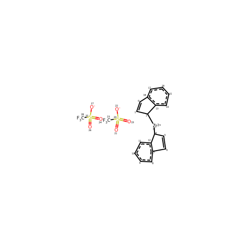 C1=C[CH]([Zr+2][CH]2C=Cc3ccccc32)c2ccccc21.O=S(=O)([O-])C(F)(F)F.O=S(=O)([O-])C(F)(F)F